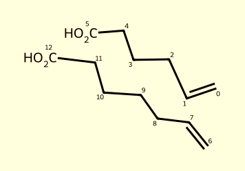 C=CCCCC(=O)O.C=CCCCCC(=O)O